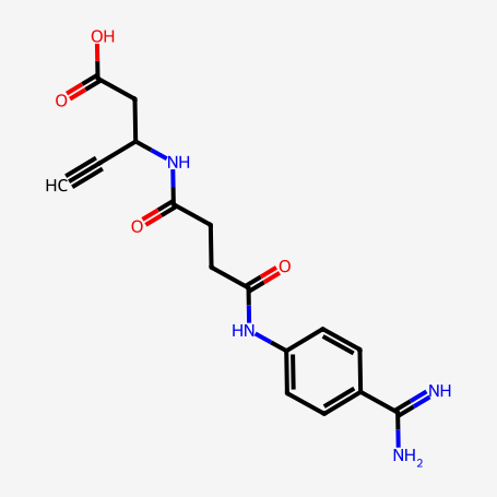 C#CC(CC(=O)O)NC(=O)CCC(=O)Nc1ccc(C(=N)N)cc1